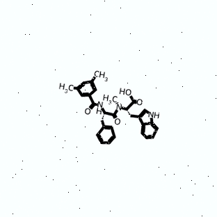 Cc1cc(C)cc(C(=O)N[C@@H](Cc2ccccc2)C(=O)N(C)[C@@H](Cc2c[nH]c3ccccc23)C(=O)O)c1